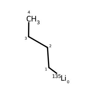 [135Li][CH2]CCC